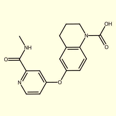 CNC(=O)c1cc(Oc2ccc3c(c2)CCCN3C(=O)O)ccn1